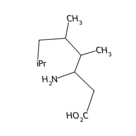 CC(C)CC(C)C(C)C(N)CC(=O)O